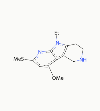 CCn1c2c(c3c(OC)cc(SC)nc31)CNCC2